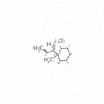 C=CC(C)[N+]1(C)CCCCC1.[Cl-]